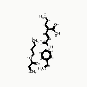 C=CC(=O)OCCCC.C=Cc1ccccc1.CCC=C(C=CC(=O)O)C(=O)O